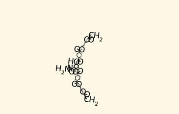 C=CC(=O)COCCCOC(=O)C1CCC(C(=O)Oc2ccc(OC(=O)C3CCC(C(=O)OCCCCOC(=O)C=C)CC3)cc2C(=O)NN)CC1